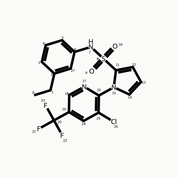 CCc1cccc(NS(=O)(=O)c2cccn2-c2ncc(C(F)(F)F)cc2Cl)c1